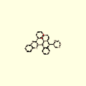 c1ccc(-c2nc3ccccc3nc2-c2c3ccccc3c(-c3cncnn3)c3ccccc23)cc1